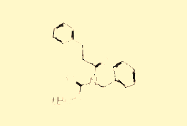 CC(C)(C)OC(=O)N(Cc1ccccc1)C(=O)CCc1ccccc1